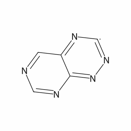 [c]1nnc2ncncc2n1